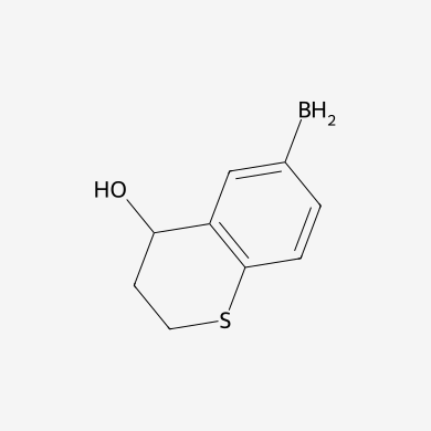 Bc1ccc2c(c1)C(O)CCS2